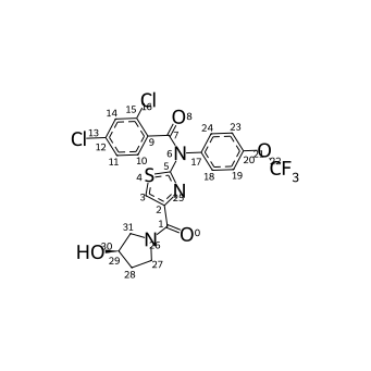 O=C(c1csc(N(C(=O)c2ccc(Cl)cc2Cl)c2ccc(OC(F)(F)F)cc2)n1)N1CC[C@@H](O)C1